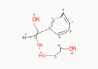 CCC(O)(O)c1ccccc1.OCCO